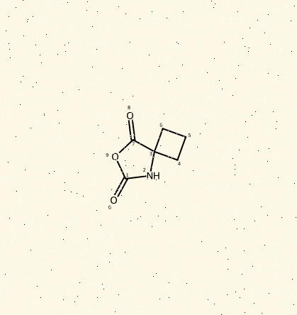 O=C1NC2(CCC2)C(=O)O1